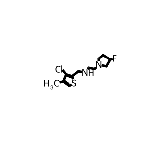 Cc1csc(CNCCN2CCC(F)C2)c1Cl